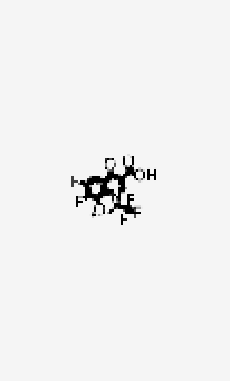 COc1c(F)c(F)cc2c(=O)c(C(=O)O)cn([C@H](C)C(F)(F)F)c12